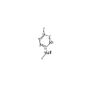 CNc1ccc(C)[c]n1